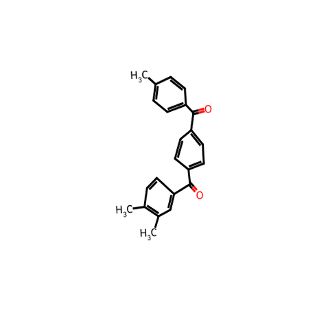 Cc1ccc(C(=O)c2ccc(C(=O)c3ccc(C)c(C)c3)cc2)cc1